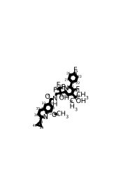 COc1cc(C(=O)NCC(O)(c2cc(C(C)(C)O)c(F)c(-c3ccc(F)cc3)n2)C(F)(F)F)cc2ccc(C3CC3)nc12